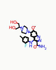 COc1cc2nnc(C(N)=O)c(Nc3ccc(C)cc3F)c2cc1N1CCN(C(CO)CO)CC1